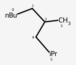 [CH2]CCCCC(C)CC([CH2])C